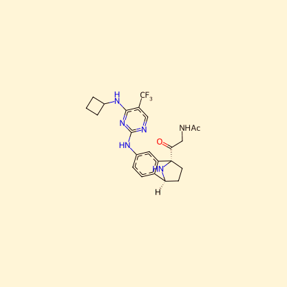 CC(=O)NCC(=O)[C@]12CC[C@H](N1)c1ccc(Nc3ncc(C(F)(F)F)c(NC4CCC4)n3)cc12